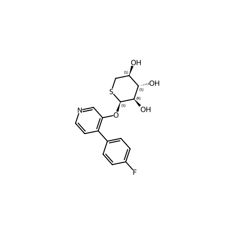 O[C@@H]1[C@@H](O)[C@@H](Oc2cnccc2-c2ccc(F)cc2)SC[C@H]1O